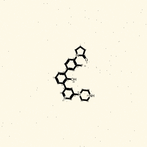 O=C1CCCN1c1ccc(-c2cccc(-c3cncc(N4CCNCC4)c3)c2O)cc1F